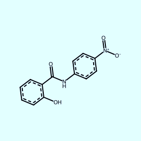 O=C(Nc1ccc([N+](=O)[O-])cc1)c1ccccc1O